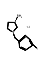 Cl.N[C@@H]1CCN(Cc2ccc(F)cc2)C1